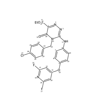 CCOC(=O)c1nnc(Nc2ccc(Oc3cc(F)nc(F)c3)cc2)n(Cc2ccc(Cl)cc2)c1=O